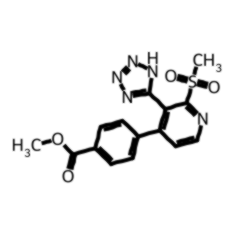 COC(=O)c1ccc(-c2ccnc(S(C)(=O)=O)c2-c2nnn[nH]2)cc1